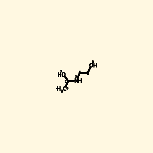 [CH2]C(O)NCCO